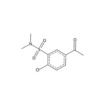 CC(=O)c1ccc(Cl)c(S(=O)(=O)N(C)C)c1